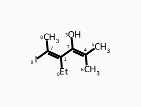 CC/C(C(O)=C(C)C)=C(/C)I